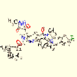 CNC(=O)C(=O)c1cn(COCC[Si](C)(C)C)c2nc(C)c(C(=O)N3C[C@H](C)N(Cc4ccc(F)cc4)C[C@H]3C)cc12